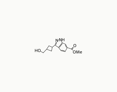 COC(=O)c1ccc2c(C3CC(CO)C3)n[nH]c2c1